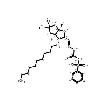 CCCCCCCCCCO[C@@H]1[C@H]2OC(C)(C)O[C@H]2O[C@@H]1C=NOC(=O)NS(=O)(=O)c1ccccc1